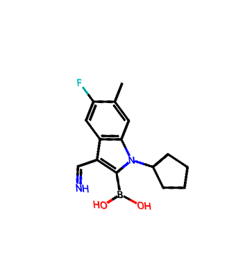 Cc1cc2c(cc1F)c(C=N)c(B(O)O)n2C1CCCC1